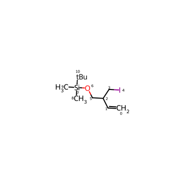 C=CC(CI)CO[Si](C)(C)C(C)(C)C